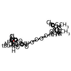 COc1cc(C(=O)NCCOCCOCCOCCOCCNC(=O)C[C@@H]2N=C(c3ccc(Cl)cc3)c3c(sc(C)c3C)-n3c(C)nnc32)ccc1NC(=O)C1N[C@H](CC(C)(C)C)[C@@](C#N)(c2ccc(Cl)cc2F)[C@@H]1c1cccc(Cl)c1F